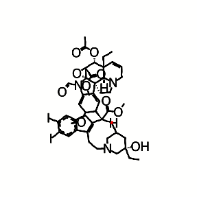 CC[C@]1(O)C[C@H]2CN(CCC3=C(Cc4cc(I)c(I)cc43)[C@@](C(=O)OC)(C3C=C4C(=CC3OC)N(C=O)[C@@]35O[C@]3(C(=O)OC)[C@H](OC(C)=O)[C@]3(CC)C=CCN6CC[C@]45[C@@H]63)C2)C1